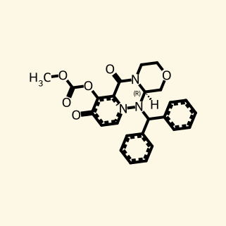 COC(=O)Oc1c2n(ccc1=O)N(C(c1ccccc1)c1ccccc1)[C@@H]1COCCN1C2=O